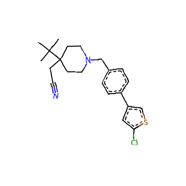 CC(C)(C)C1(CC#N)CCN(Cc2ccc(-c3csc(Cl)c3)cc2)CC1